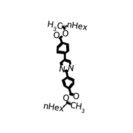 CCCCCC[C@H](C)OC(=O)c1ccc(-c2cnc(-c3ccc(C(=O)O[C@@H](C)CCCCCC)cc3)nc2)cc1